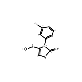 CSc1csc(=O)n1-c1cccc(F)c1